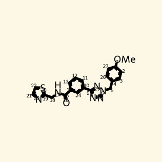 COc1ccc(Cn2nnc(-c3cccc(C(=O)NCc4nccs4)c3)n2)cc1